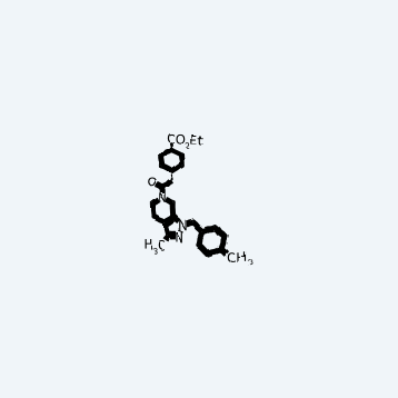 CCOC(=O)[C@H]1CC[C@H](CC(=O)N2CCc3c(C)nn(CC4CCC(C)CC4)c3C2)CC1